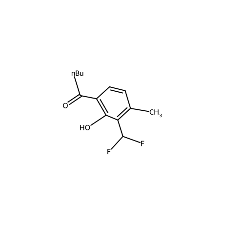 CCCCC(=O)c1ccc(C)c(C(F)F)c1O